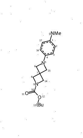 CNc1ccc(N2CC3(CN(C(=O)OC(C)(C)C)C3)C2)cc1